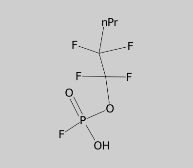 CCCC(F)(F)C(F)(F)OP(=O)(O)F